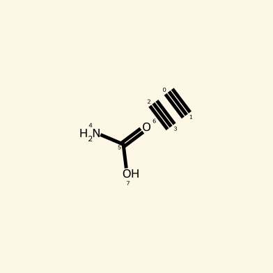 C#C.C#C.NC(=O)O